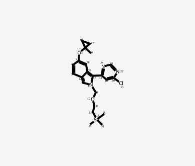 CC1(Oc2ccc3cn(COCC[Si](C)(C)C)c(-c4cc(Cl)ncn4)c3c2)CC1